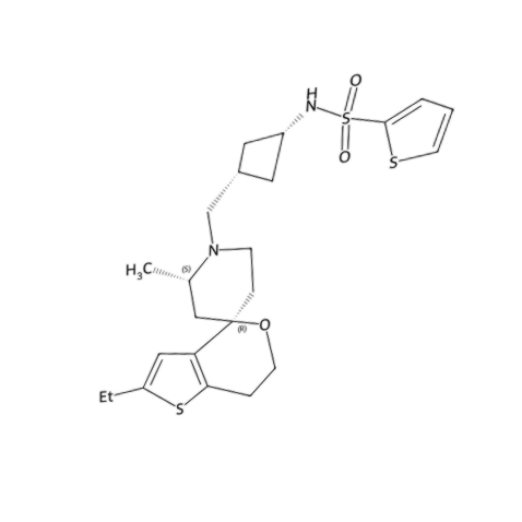 CCc1cc2c(s1)CCO[C@@]21CCN(C[C@H]2C[C@@H](NS(=O)(=O)c3cccs3)C2)[C@@H](C)C1